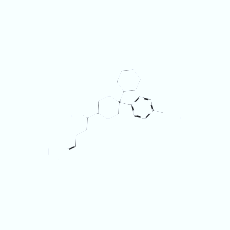 C=CCCC(C)C1CCC(c2ccc(C)cc2)(C2CCCCC2)CC1